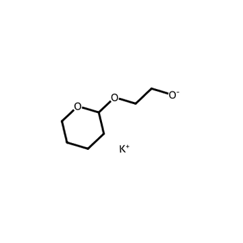 [K+].[O-]CCOC1CCCCO1